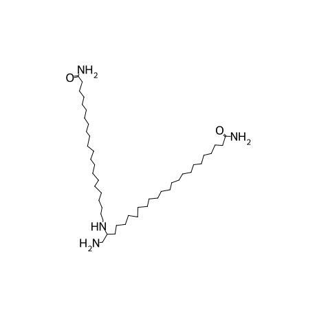 NCC(CCCCCCCCCCCCCCCCCCCCCC(N)=O)NCCCCCCCCCCCCCCCCCCCCCC(N)=O